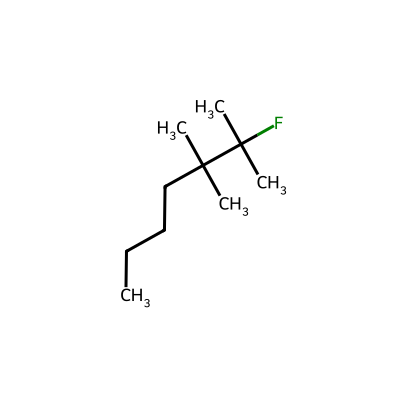 CCCCC(C)(C)C(C)(C)F